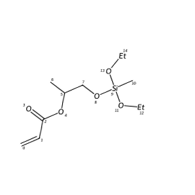 C=CC(=O)OC(C)CO[Si](C)(OCC)OCC